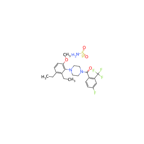 CCc1ccc(OC)c(N2CCN(C(=O)c3ccc(F)cc3C(F)(F)F)CC2)c1CC.N[SH](=O)=O